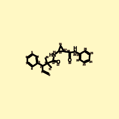 C=CC(c1ccccc1)C(C)(C)C(=O)NC1CC1C(=O)Nc1ccccc1